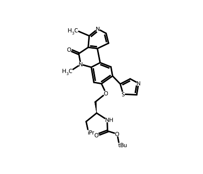 Cc1nccc2c1c(=O)n(C)c1cc(OC[C@H](CC(C)C)NC(=O)OC(C)(C)C)c(-c3cncs3)cc21